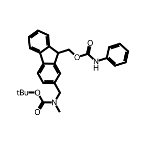 CN(Cc1ccc2c(c1)C(COC(=O)Nc1ccccc1)c1ccccc1-2)C(=O)OC(C)(C)C